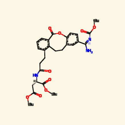 CC(C)(C)OC(=O)C[C@H](NC(=O)CCc1cccc2c1CCc1cc(/C(N)=N\C(=O)OC(C)(C)C)ccc1OC2=O)C(=O)OC(C)(C)C